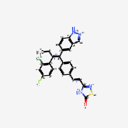 CC/C(=C(/c1ccc(/C=C/c2nsc(=O)[nH]2)cc1)c1ccc2[nH]ncc2c1)c1ccc(F)cc1Cl